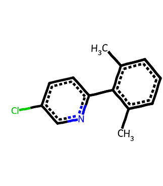 Cc1cccc(C)c1-c1ccc(Cl)cn1